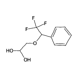 OC(O)COC(c1ccccc1)C(F)(F)F